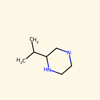 CC(C)C1C[N]CCN1